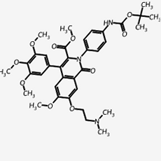 COC(=O)c1c(-c2cc(OC)c(OC)c(OC)c2)c2cc(OC)c(OCCN(C)C)cc2c(=O)n1-c1ccc(NC(=O)OC(C)(C)C)cc1